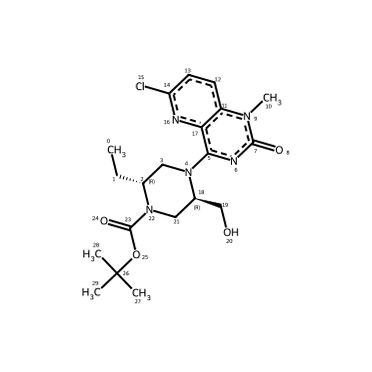 CC[C@@H]1CN(c2nc(=O)n(C)c3ccc(Cl)nc23)[C@@H](CO)CN1C(=O)OC(C)(C)C